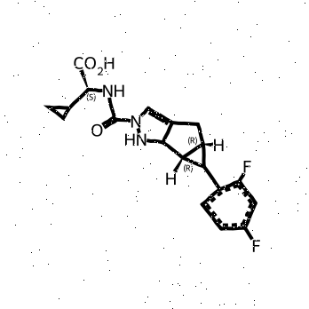 O=C(O)[C@@H](NC(=O)N1C=C2C[C@@H]3C(c4ccc(F)cc4F)[C@@H]3C2N1)C1CC1